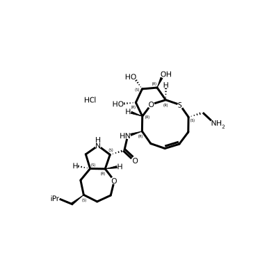 CC(C)C[C@@H]1CCO[C@@H]2[C@H](CN[C@@H]2C(=O)N[C@@H]2CC=CC[C@@H](CN)S[C@H]3O[C@H]2[C@H](O)[C@H](O)[C@H]3O)C1.Cl